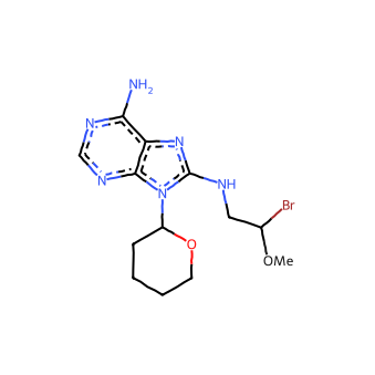 COC(Br)CNc1nc2c(N)ncnc2n1C1CCCCO1